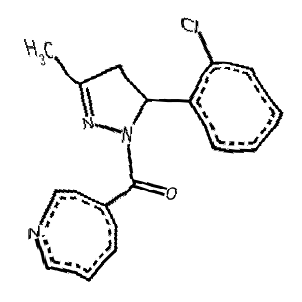 CC1=NN(C(=O)c2cccnc2)C(c2ccccc2Cl)C1